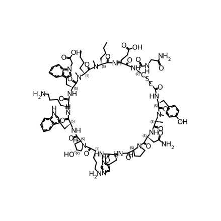 CCCC[C@H]1C(=O)N(C)[C@@H](CCCC)C(=O)N[C@@H](CCC(=O)O)C(=O)N[C@H](C(=O)NCC(N)=O)CSCC(=O)N[C@@H](Cc2ccc(O)cc2)C(=O)N(C)[C@@H](C)C(=O)N[C@@H](CC(N)=O)C(=O)N2CCC[C@H]2C(=O)N[C@@H](Cc2cnc[nH]2)C(=O)N[C@@H](CCCN)C(=O)N2C[C@H](O)C[C@H]2C(=O)N[C@@H](Cc2c[nH]c3ccccc23)C(=O)N[C@@H](CCCCN)C(=O)N[C@@H](Cc2cn(CC(=O)O)c3ccccc23)C(=O)N1C